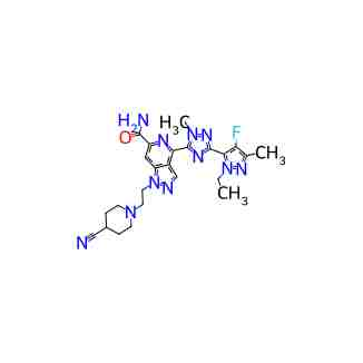 CCn1nc(C)c(F)c1-c1nc(-c2nc(C(N)=O)cc3c2cnn3CCN2CCC(C#N)CC2)n(C)n1